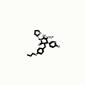 CC1=C(C(=O)O)[C@@H](c2ccc(Cl)nc2)C(Cc2ccc(OCCI)cc2)C(=O)N1C[C@@H]1CCCO1